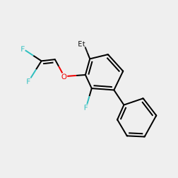 CCc1ccc(-c2ccccc2)c(F)c1OC=C(F)F